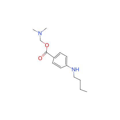 CCCCNc1ccc(C(=O)OCN(C)C)cc1